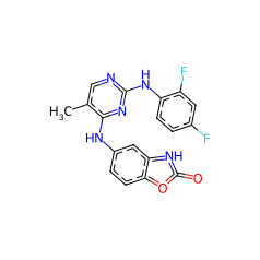 Cc1cnc(Nc2ccc(F)cc2F)nc1Nc1ccc2oc(=O)[nH]c2c1